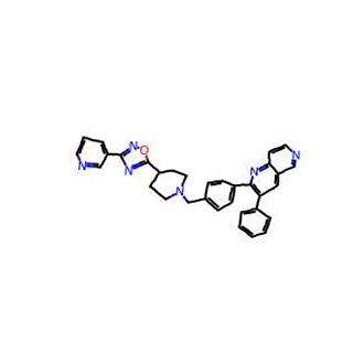 c1ccc(-c2cc3cnccc3nc2-c2ccc(CN3CCC(c4nc(-c5cccnc5)no4)CC3)cc2)cc1